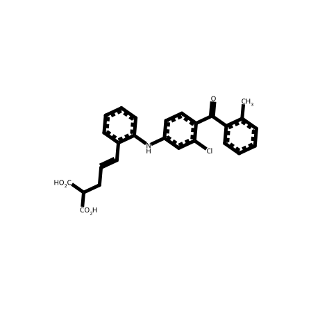 Cc1ccccc1C(=O)c1ccc(Nc2ccccc2C=CCC(C(=O)O)C(=O)O)cc1Cl